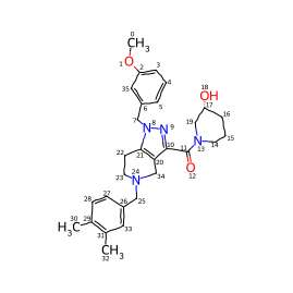 COc1cccc(Cn2nc(C(=O)N3CCC[C@@H](O)C3)c3c2CCN(Cc2ccc(C)c(C)c2)C3)c1